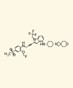 CS(=O)(=O)c1ccc(NCC#Cc2cc3c(N[C@H]4CC[C@@H](N5CC6(CCOCC6)C5)CC4)cccc3n2CC(F)(F)F)c(OCF)c1